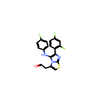 O=CCc1csc2nc(-c3ccc(F)cc3F)c(Nc3ccc(F)cc3)n12